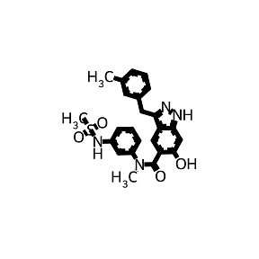 Cc1cccc(Cc2n[nH]c3cc(O)c(C(=O)N(C)c4cccc(NS(C)(=O)=O)c4)cc23)c1